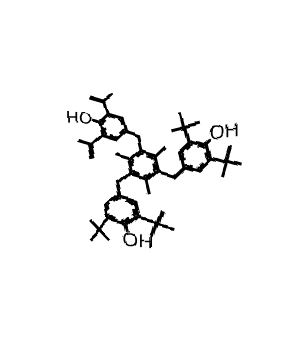 C=C(C)c1cc(Cc2c(C)c(Cc3cc(C(C)(C)C)c(O)c(C(C)(C)C)c3)c(C)c(Cc3cc(C(C)(C)C)c(O)c(C(C)(C)C)c3)c2C)cc(C(=C)C)c1O